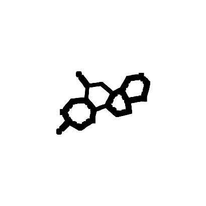 O=C1Cc2c(ccc3ncncc23)-c2ncc(=O)ncc21